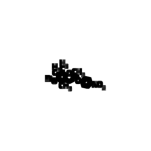 CCOc1c(C)c(C)c2c(c1C)CCC(C)(COc1ccc([N+](=O)[O-])cc1)O2